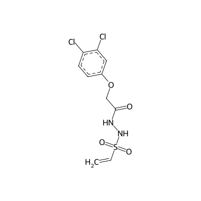 C=CS(=O)(=O)NNC(=O)COc1ccc(Cl)c(Cl)c1